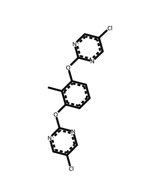 Cc1c(Oc2ncc(Cl)cn2)cccc1Oc1ncc(Cl)cn1